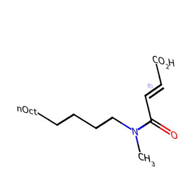 CCCCCCCCCCCCN(C)C(=O)/C=C/C(=O)O